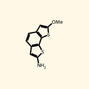 COc1cc2ccc3cc(N)sc3c2s1